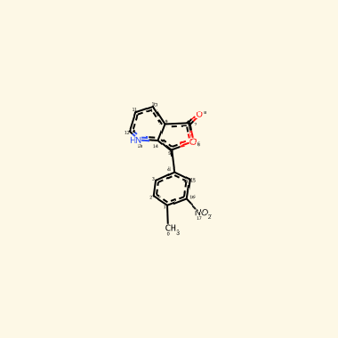 Cc1ccc(-c2oc(=O)c3ccc[nH]c2-3)cc1[N+](=O)[O-]